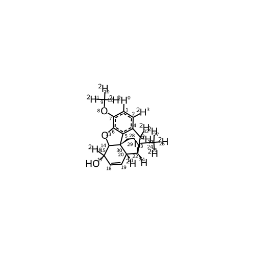 [2H]c1c([2H])c2c3c(c1OC([2H])([2H])[2H])OC1C([2H])(O)C=C[C@@]4([2H])[C@H](N(C([2H])([2H])[2H])CC[C@]314)C2([2H])[2H]